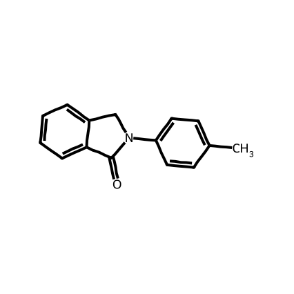 Cc1ccc(N2Cc3ccccc3C2=O)cc1